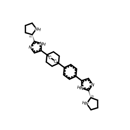 c1cc(C23CCC(c4cnc([C@@H]5CCCN5)[nH]4)(CC2)CC3)ccc1-c1cnc([C@@H]2CCCN2)[nH]1